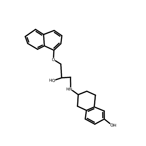 Oc1ccc2c(c1)CCC(NCC(O)COc1cccc3ccccc13)C2